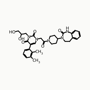 Cc1cccc(-c2cn(CC(=O)N3CCC(N4CCc5ccccc5NC4=O)CC3)c(=O)n(CC(O)CO)c2=O)c1C